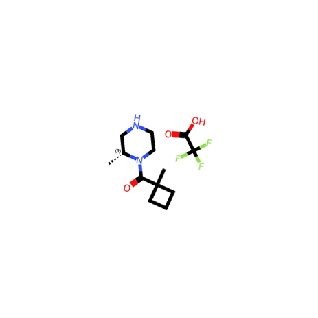 C[C@@H]1CNCCN1C(=O)C1(C)CCC1.O=C(O)C(F)(F)F